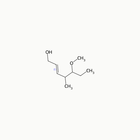 CCC(OC)C(C)/C=C/CO